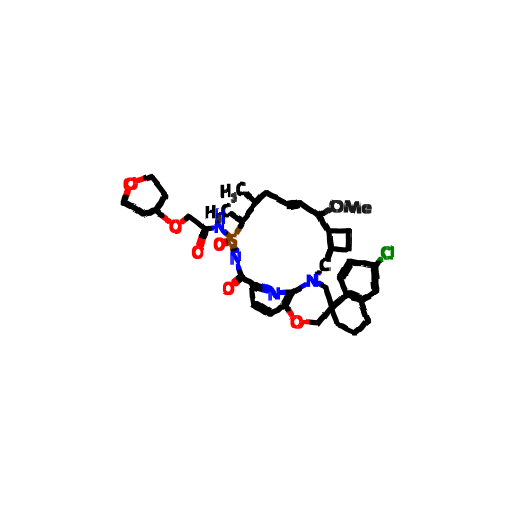 COC1/C=C/CC(C)C(C)S(=O)(NC(=O)COC2CCOCC2)=NC(=O)c2ccc3c(n2)N(CC2CCC21)CC1(CCCc2cc(Cl)ccc21)CO3